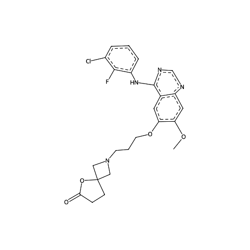 COc1cc2ncnc(Nc3cccc(Cl)c3F)c2cc1OCCCN1CC2(CCC(=O)O2)C1